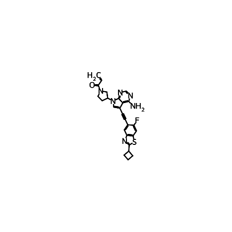 C=CC(=O)N1CCC(n2cc(C#Cc3cc4nc(C5CCC5)sc4cc3F)c3c(N)ncnc32)C1